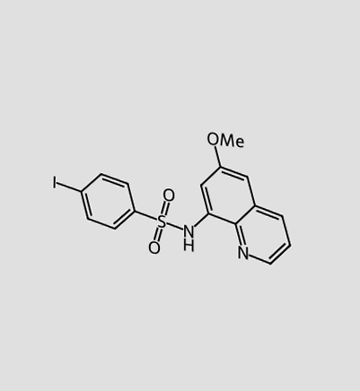 COc1cc(NS(=O)(=O)c2ccc(I)cc2)c2ncccc2c1